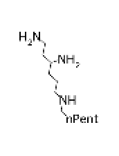 CCCCCCNCCCC(N)CCN